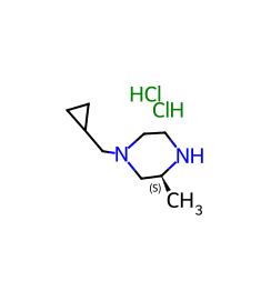 C[C@H]1CN(CC2CC2)CCN1.Cl.Cl